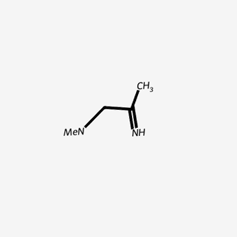 CNCC(C)=N